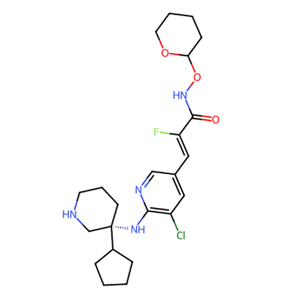 O=C(NOC1CCCCO1)/C(F)=C/c1cnc(N[C@@]2(C3CCCC3)CCCNC2)c(Cl)c1